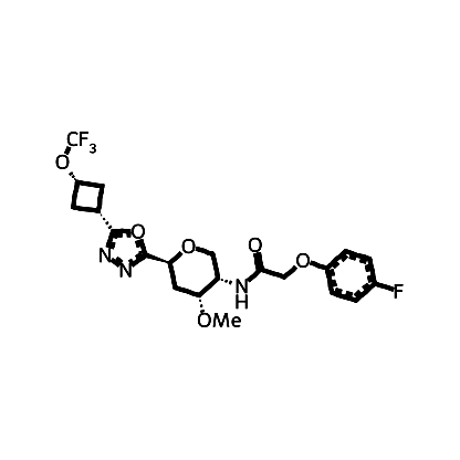 CO[C@@H]1C[C@@H](c2nnc([C@H]3C[C@@H](OC(F)(F)F)C3)o2)OC[C@@H]1NC(=O)COc1ccc(F)cc1